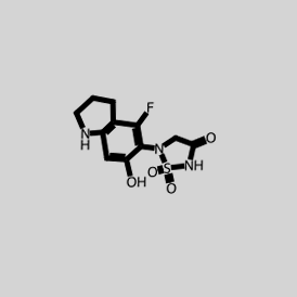 O=C1CN(c2c(O)cc3c(c2F)CCCN3)S(=O)(=O)N1